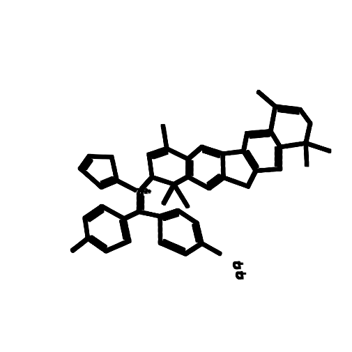 CC1=CCC(C)(C)c2cc3c(cc21)-c1cc2c(cc1C3)C(C)(C)[CH]([Zr+2]([C]1=CC=CC1)=[C](c1ccc(C)cc1)c1ccc(C)cc1)C=C2C.[Cl-].[Cl-]